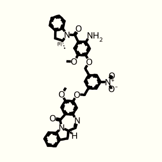 COc1cc(C(=O)N2c3ccccc3C[C@H]2C)c(N)cc1OCc1cc(COc2cc3c(cc2OC)C(=O)N2c4ccccc4C[C@H]2C=N3)cc([N+](=O)[O-])c1